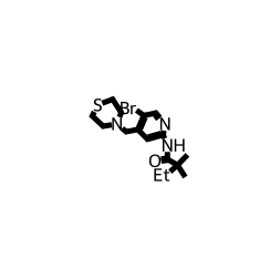 CCC(C)(C)C(=O)Nc1cc(CN2CCSCC2)c(Br)cn1